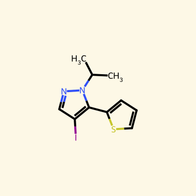 CC(C)n1ncc(I)c1-c1cccs1